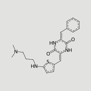 CN(C)CCCNc1ccc(C=c2[nH]c(=O)c(=Cc3ccccc3)[nH]c2=O)s1